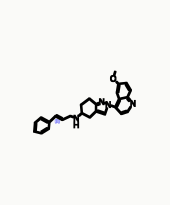 COc1ccc2nccc(-n3cc4c(n3)CCC(NC/C=C/c3ccccc3)C4)c2c1